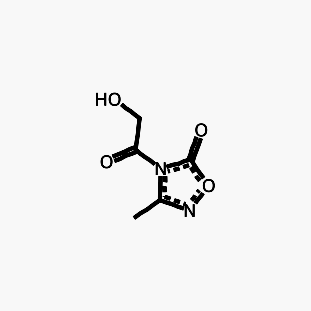 Cc1noc(=O)n1C(=O)CO